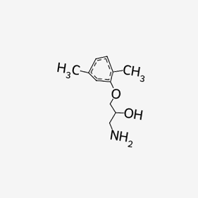 Cc1ccc(C)c(OCC(O)CN)c1